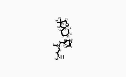 CNCCN(C)Cc1scnc1[C@H]1CC[C@]2(CC1)CC(C)(C)CO2